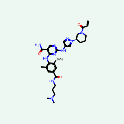 C=CC(=O)N1CCC[C@@H](n2cc(Nc3ncc(C(N)=O)c(Nc4c(C)cc(C(=O)NCCCN(C)C)cc4OC)n3)cn2)C1